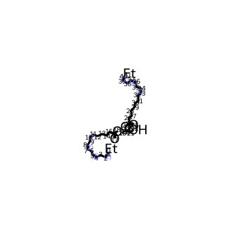 CC/C=C\C/C=C\C/C=C\C/C=C\CCCCC(=O)OC[C@H](CO)OC(=O)CCCCCCC/C=C\C/C=C\C/C=C\CC